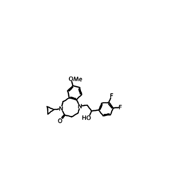 COc1ccc2c(c1)CN(C1CC1)C(=O)CCN2CC(O)c1ccc(F)c(F)c1